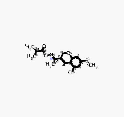 CSc1cc(Cl)c2c(c1)OCC(/C(C)=N/OC(=O)C(C)C)=C2